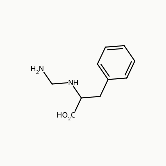 NCNC(Cc1ccccc1)C(=O)O